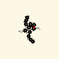 Cc1cc2c3c(c1)Oc1c(-c4ccc5oc6cc7ccccc7cc6c5c4)cc4c5c1B3c1c(ccc(-c3ccc6oc7cc8ccccc8cc7c6c3)c1O2)N5c1ccc(C)cc1C4(c1ccccc1)c1ccccc1